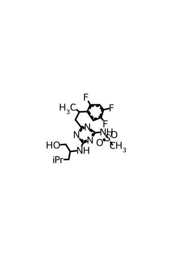 CC(C)CC(CO)Nc1nc(CC(C)c2cc(F)c(F)cc2F)nc(NS(C)(=O)=O)n1